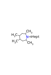 CCCCCCCN1C(C)CC(C)C(C)CC1C